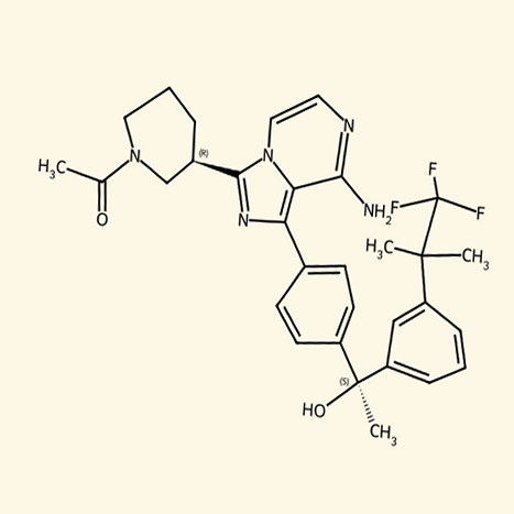 CC(=O)N1CCC[C@@H](c2nc(-c3ccc([C@](C)(O)c4cccc(C(C)(C)C(F)(F)F)c4)cc3)c3c(N)nccn23)C1